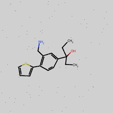 CCC(O)(CC)c1ccc(-c2cc[c]s2)c(CN)c1